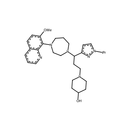 COc1ccc2cccnc2c1N1CCCN(C(CCN2CCC(O)CC2)c2ccn(C(C)C)n2)CC1